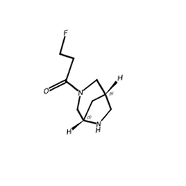 O=C(CCF)N1C[C@@H]2CN[C@@H](C2)C1